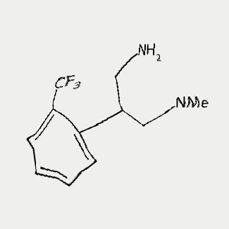 CNCC(CN)c1ccccc1C(F)(F)F